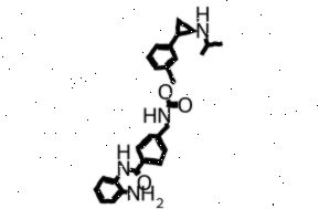 CC(C)N[C@H]1CC1c1cccc(COC(=O)NCc2ccc(C(=O)Nc3ccccc3N)cc2)c1